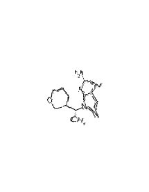 C[C@H]([C@@H]1CCCOC1)n1ncc2ncc(N)nc21